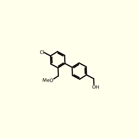 COCc1cc(Cl)ccc1-c1ccc(CO)cc1